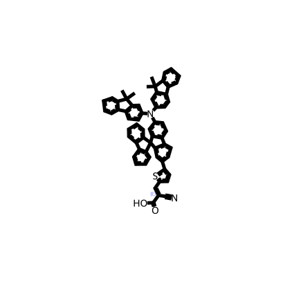 CC1(C)c2ccccc2-c2ccc(N(c3ccc4c(c3)C(C)(C)c3ccccc3-4)c3ccc4c(c3)C3(c5ccccc5-c5ccccc53)c3cc(-c5ccc(/C=C(\C#N)C(=O)O)s5)ccc3-4)cc21